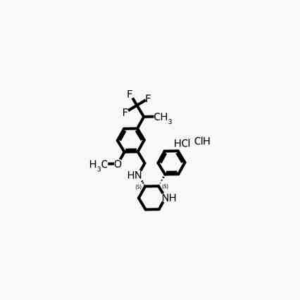 COc1ccc(C(C)C(F)(F)F)cc1CN[C@H]1CCCN[C@H]1c1ccccc1.Cl.Cl